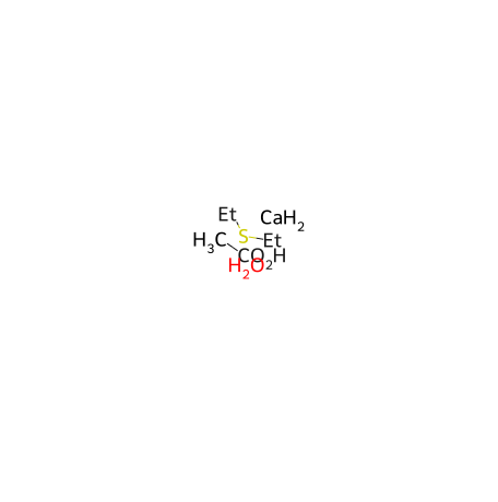 CC(=O)O.CCSCC.O.[CaH2]